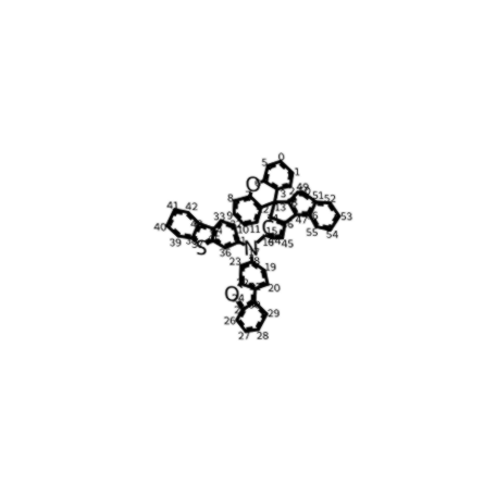 c1ccc2c(c1)Oc1ccccc1C21c2cc(N(c3ccc4c(c3)oc3ccccc34)c3ccc4c(c3)sc3ccccc34)ccc2-c2c1ccc1ccccc21